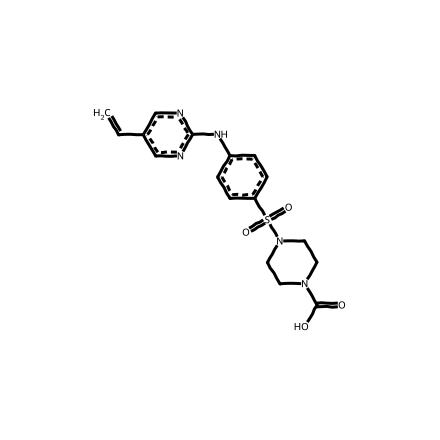 C=Cc1cnc(Nc2ccc(S(=O)(=O)N3CCN(C(=O)O)CC3)cc2)nc1